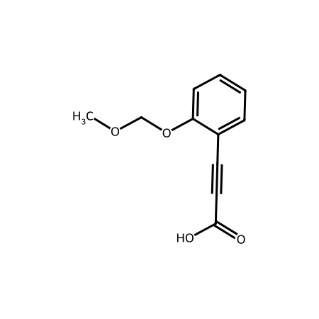 COCOc1ccccc1C#CC(=O)O